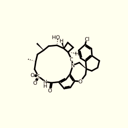 C[C@@H]1C[C@@H](C)CS(=O)(=O)NC(=O)c2ccc3c(c2)N(C[C@@H]2CC[C@H]2[C@@H](O)C1)C[C@@]1(CCCc2cc(Cl)ccc21)CO3